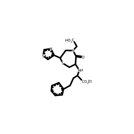 CCOC(=O)C(CCc1ccccc1)NC1CSC(c2cscn2)CN(CC(=O)O)C1=O